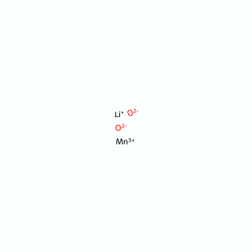 [Li+].[Mn+3].[O-2].[O-2]